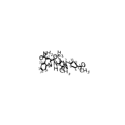 CC(=O)c1ccc(Cn2nc(C)c(NC(=O)c3cc(C(N)=O)c4ccccc4n3)c2C)cc1